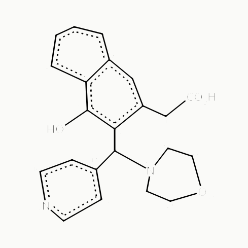 O=C(O)Cc1cc2ccccc2c(O)c1C(c1ccncc1)N1CCOCC1